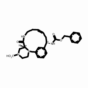 O=C(N[C@H]1CC=CCCNC(=O)[C@H]2CN(C(=O)O)CCN2c2cccc1c2)OCc1ccccc1